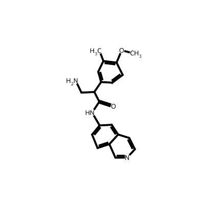 COc1c[c]c(C(CN)C(=O)Nc2ccc3cnccc3c2)cc1C